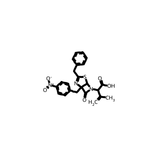 C=C(C)C(C(=O)O)N1C(=O)C2(Cc3ccc([N+](=O)[O-])cc3)N=C(Cc3ccccc3)SC12